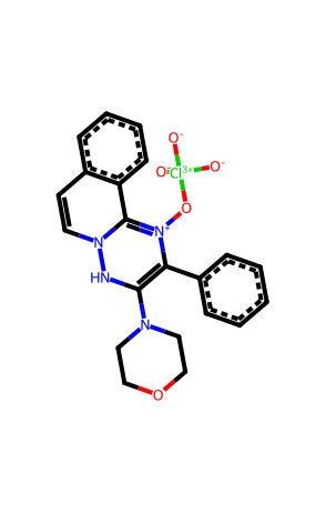 [O-][Cl+3]([O-])([O-])O[N+]1=C2c3ccccc3C=CN2NC(N2CCOCC2)=C1c1ccccc1